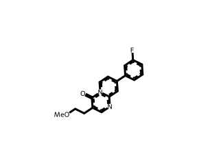 COCCc1cnc2cc(-c3cccc(F)c3)ccn2c1=O